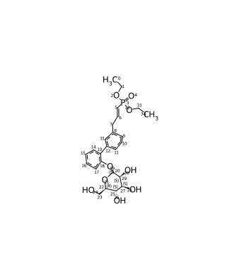 CCOP(=O)(C=CCc1cccc(-c2ccccc2O[C@@H]2O[C@H](CO)[C@@H](O)[C@H](O)[C@@H]2O)c1)OCC